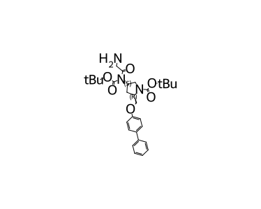 CC(C)(C)OC(=O)N1C[C@@H](N(C(=O)CN)C(=O)OC(C)(C)C)C[C@@H]1COc1ccc(-c2ccccc2)cc1